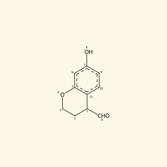 O=CC1CCOc2cc(O)ccc21